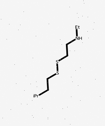 CCNCCSSCCC(C)C